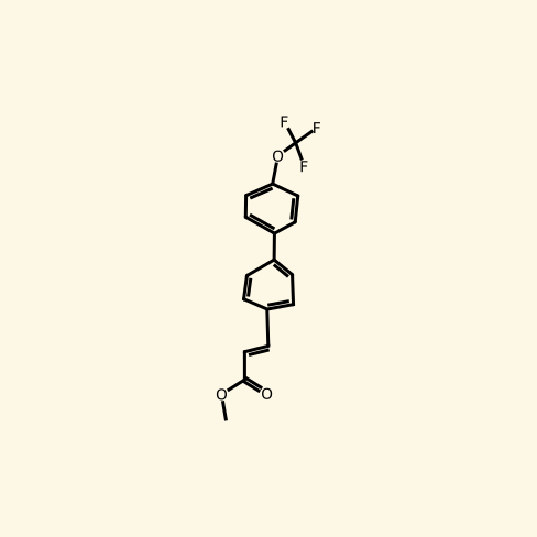 COC(=O)C=Cc1ccc(-c2ccc(OC(F)(F)F)cc2)cc1